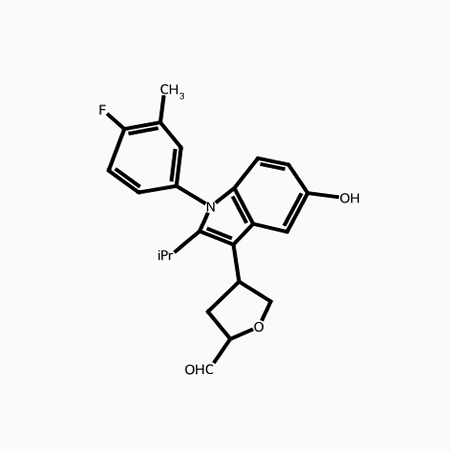 Cc1cc(-n2c(C(C)C)c(C3COC(C=O)C3)c3cc(O)ccc32)ccc1F